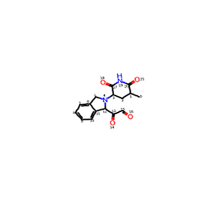 CC1CC(N2Cc3ccccc3C2C(=O)C=O)C(=O)NC1=O